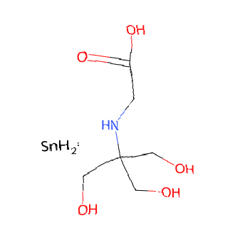 O=C(O)CNC(CO)(CO)CO.[SnH2]